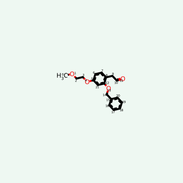 COCCOc1ccc(CC=O)c(OCc2ccccc2)c1